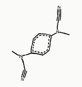 CN(C#N)c1ccc(N(C)C#N)cc1